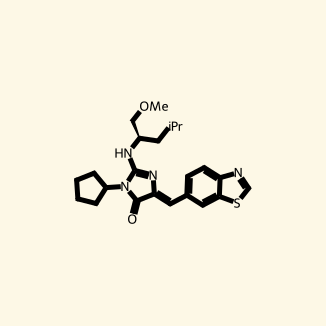 COC[C@@H](CC(C)C)NC1=N/C(=C\c2ccc3ncsc3c2)C(=O)N1C1CCCC1